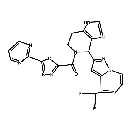 O=C(c1nnc(-c2ncccn2)o1)N1CCc2[nH]cnc2C1c1cc2c(C(F)F)cccn2n1